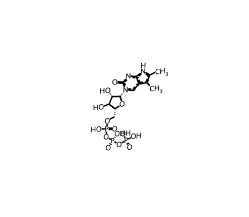 Cc1[nH]c2nc(=O)n([C@@H]3O[C@H](COP(=O)(O)OP(=O)(O)OP(=O)(O)O)C(O)[C@@H]3O)cc2c1C